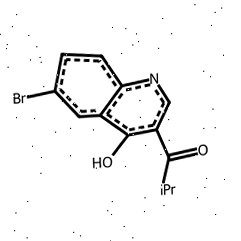 CC(C)C(=O)c1cnc2ccc(Br)cc2c1O